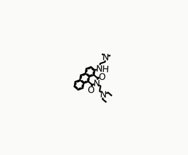 CCN(CC)CCN1C(=O)c2c(NCCN(C)C)ccc3cc4ccccc4c(c23)C1=O